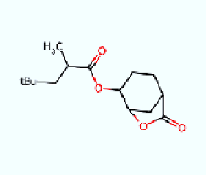 CC(CC(C)(C)C)C(=O)OC1CCC2CC1OC2=O